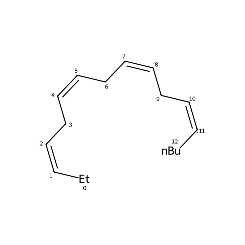 CC/C=C\C/C=C\C/C=C\C/C=[C]\CCCC